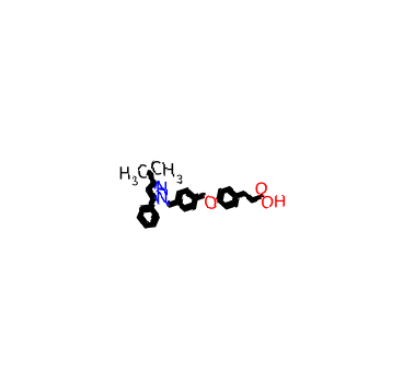 CC(C)c1cc(-c2ccccc2)n(Cc2ccc(COc3ccc(CCC(=O)O)cc3)cc2)n1